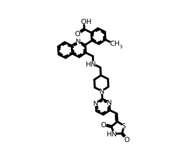 Cc1ccc(C(=O)O)c(-c2nc3ccccc3cc2CNCC2CCN(c3nccc(C=C4SC(=O)NC4=O)n3)CC2)c1